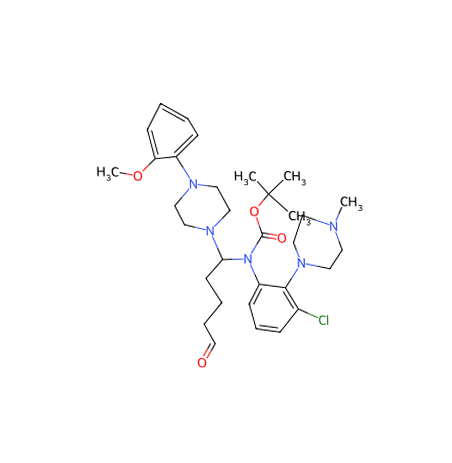 COc1ccccc1N1CCN(C(CCCC=O)N(C(=O)OC(C)(C)C)c2cccc(Cl)c2N2CCN(C)CC2)CC1